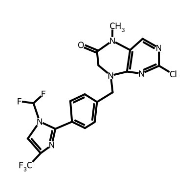 CN1C(=O)CN(Cc2ccc(-c3nc(C(F)(F)F)cn3C(F)F)cc2)c2nc(Cl)ncc21